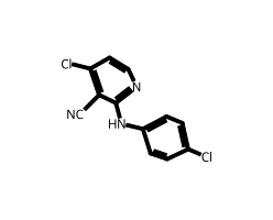 N#Cc1c(Cl)ccnc1Nc1ccc(Cl)cc1